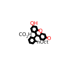 CCCCCCCCc1cccc(C(=O)O)c1-c1c2ccc(=O)cc-2oc2cc(O)ccc12